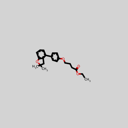 CCOC(=O)CCCOc1ccc(-c2cccc3c2CC(C)(C)O3)cc1